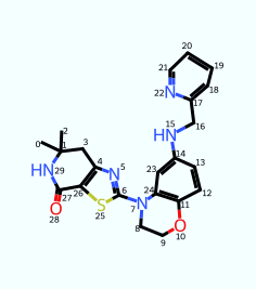 CC1(C)Cc2nc(N3CCOc4ccc(NCc5ccccn5)cc43)sc2C(=O)N1